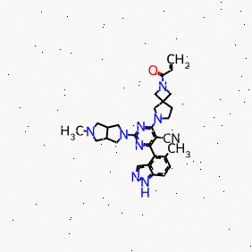 C=CC(=O)N1CC2(CCN(c3nc(N4CC5CN(C)CC5C4)nc(-c4c(C)ccc5[nH]ncc45)c3C#N)C2)C1